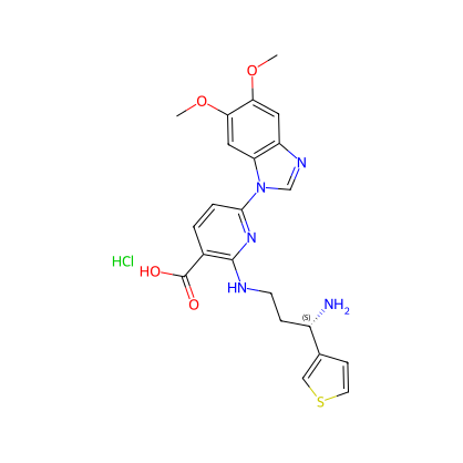 COc1cc2ncn(-c3ccc(C(=O)O)c(NCC[C@H](N)c4ccsc4)n3)c2cc1OC.Cl